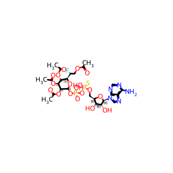 CC(=O)OCC(F)[C@H]1O[C@@H](OP(=O)(O)OP(O)(=S)OC[C@H]2O[C@@H](n3cnc4c(N)ncnc43)[C@H](O)[C@@H]2O)[C@@H](OC(C)=O)[C@@H](OC(C)=O)[C@@H]1OC(C)=O